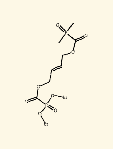 CCOP(=O)(OCC)C(=O)OC/C=C/COC(=O)P(C)(C)=O